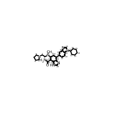 CN(CCN1CCCC1)c1cc(-c2ccc3c(c2)ncn3C2CCCCC2)c2nc[nH]c2c1C(N)=O